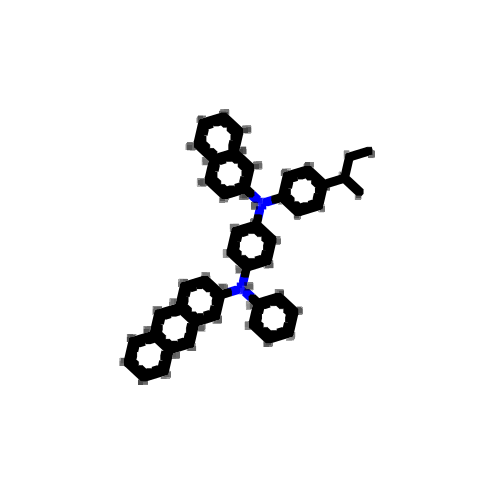 CCC(C)c1ccc(N(c2ccc(N(c3ccccc3)c3ccc4cc5ccccc5cc4c3)cc2)c2ccc3ccccc3c2)cc1